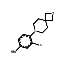 CC(C)(C)c1ccc(N2CCC3(CC2)COC3)c(C#N)c1